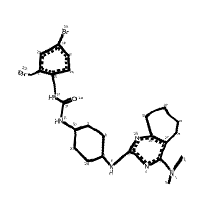 CN(C)c1nc(NC2CCC(NC(=O)Nc3ccc(Br)cc3Br)CC2)nc2c1CCCC2